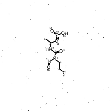 CC(NC(=O)N(CCCl)N=O)O[PH](=O)O